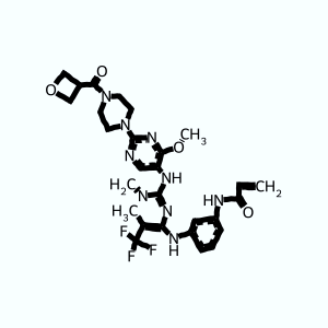 C=CC(=O)Nc1cccc(NC(/N=C(\N=C)Nc2cnc(N3CCN(C(=O)C4COC4)CC3)nc2OC)=C(/C)C(F)(F)F)c1